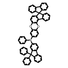 c1ccc(N(c2ccc3c(c2)Oc2ccc4c(c2O3)-c2ccccc2C42c3ccccc3-c3ccccc32)c2ccc3c(c2)C(c2ccccc2)(c2ccccc2)c2ccccc2-3)cc1